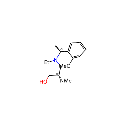 CCN(C[C@H](CO)NC)[C@@H](C)c1ccccc1OC